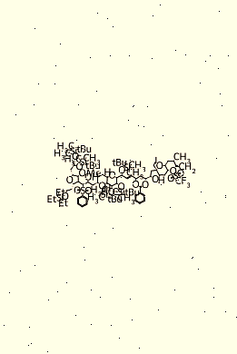 C=C(OS(=O)(=O)C(F)(F)F)[C@H](C)C[C@H]1CC[C@@H]2O[C@@H](CCC(/C=C/[C@H](O[Si](C)(C)C(C)(C)C)[C@@H]3O[C@H]4CC[C@H](CC(O)C(C5[C@H](CCO[Si](CC)(CC)CC)O[C@H](C[C@@H](CO[Si](C)(C)C(C)(C)C)O[Si](C)(C)C(C)(C)C)[C@@H]5OC)S(=O)(=O)c5ccccc5)O[C@@H]4[C@H](O[Si](C)(C)C(C)(C)C)[C@@H]3O[Si](C)(C)C(C)(C)C)OC(=O)c3ccccc3)C[C@]2(CI)O1